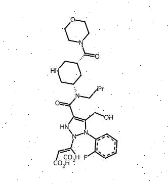 CC(C)CN(C(=O)C1=C(CO)N(c2ccccc2F)N(/C(=C/C(=O)O)C(=O)O)N1)[C@@H]1CNC[C@H](C(=O)N2CCOCC2)C1